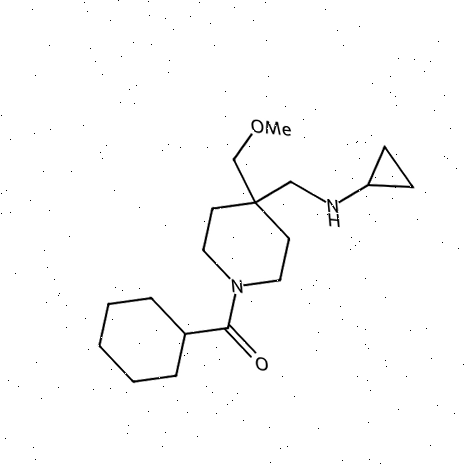 COCC1(CNC2CC2)CCN(C(=O)C2CCCCC2)CC1